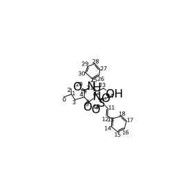 CC(C)CC(C(=O)NS(=O)(=O)C=Cc1ccccc1)C(=O)N(CCO)c1ccccc1